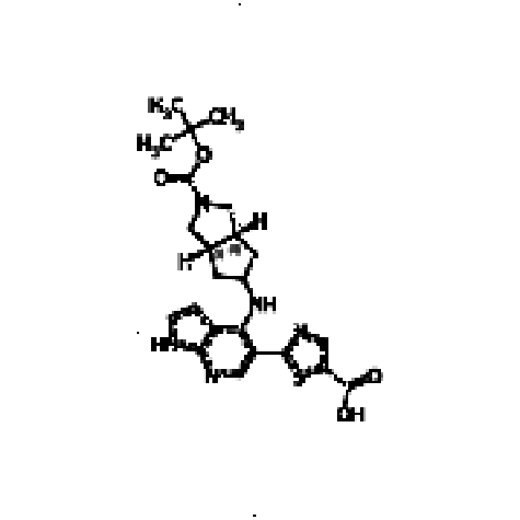 CC(C)(C)OC(=O)N1C[C@H]2CC(Nc3c(-c4ncc(C(=O)O)s4)cnc4[nH]ccc34)C[C@H]2C1